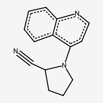 N#CC1CCCN1c1ccnc2ccccc12